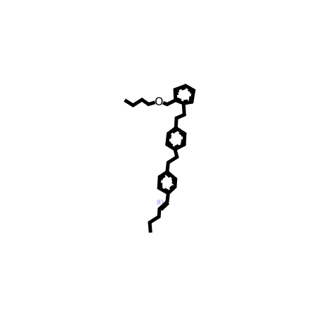 CCC/C=C/c1ccc(CCc2ccc(CCc3ccccc3COCCCC)cc2)cc1